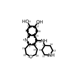 Oc1cc2nc3c(c(NC4CCNCC4)c2cc1O)CCOCC3